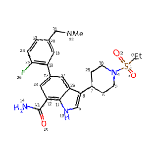 CCS(=O)(=O)N1CCC(c2c[nH]c3c(C(N)=O)cc(-c4cc(CNC)ccc4F)cc23)CC1